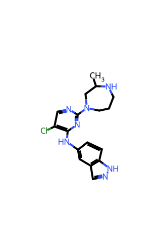 CC1CN(c2ncc(Cl)c(Nc3ccc4[nH]ncc4c3)n2)CCCN1